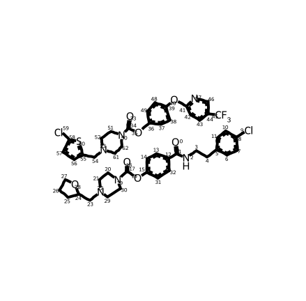 O=C(NCCc1ccc(Cl)cc1)c1ccc(OC(=O)N2CCN(CC3CCCO3)CC2)cc1.O=C(Oc1ccc(Oc2ccc(C(F)(F)F)cn2)cc1)N1CCN(Cc2ccc(Cl)s2)CC1